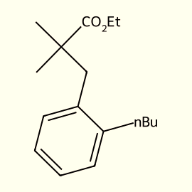 CCCCc1ccccc1CC(C)(C)C(=O)OCC